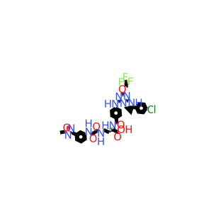 Cc1nc(-c2cccc(NC(=O)C(=O)NCC[C@H](NC(=O)c3ccc(Nc4nc(NC5(c6ccc(Cl)cc6)CC5)nc(OCC(F)(F)F)n4)cc3)C(=O)O)c2)no1